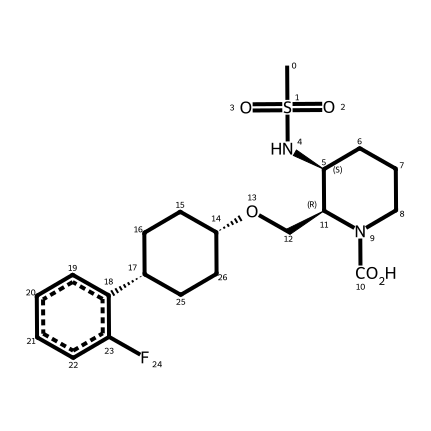 CS(=O)(=O)N[C@H]1CCCN(C(=O)O)[C@H]1CO[C@H]1CC[C@@H](c2ccccc2F)CC1